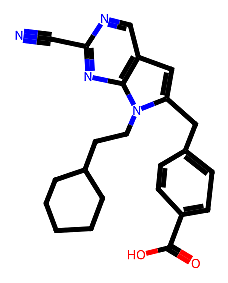 N#Cc1ncc2cc(Cc3ccc(C(=O)O)cc3)n(CCC3CCCCC3)c2n1